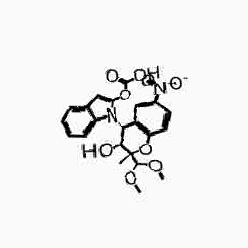 COC(OC)[C@@]1(C)Oc2ccc([N+](=O)[O-])cc2[C@@H](n2c(OC(=O)O)cc3ccccc32)[C@@H]1O